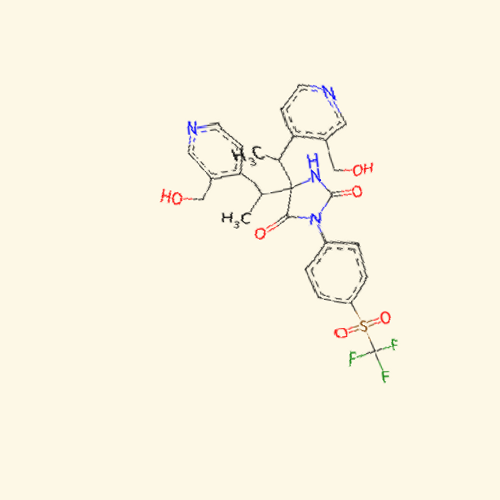 CC(c1ccncc1CO)C1(C(C)c2ccncc2CO)NC(=O)N(c2ccc(S(=O)(=O)C(F)(F)F)cc2)C1=O